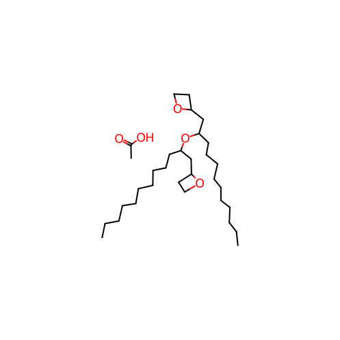 CC(=O)O.CCCCCCCCCCC(CC1CCO1)OC(CCCCCCCCCC)CC1CCO1